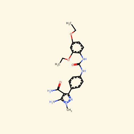 CCOc1ccc(NC(=O)Nc2ccc(-c3nn(C)c(N)c3C(N)=O)cc2)c(OCC)c1